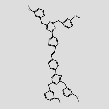 COc1cccc(Cc2nc(Cc3cccc(OC)c3)nc(-c3ccc(C=Cc4ccc(-c5nc(Cc6cccc(OC)c6)nc(Cc6cccc(OC)c6)n5)cc4)cc3)n2)c1